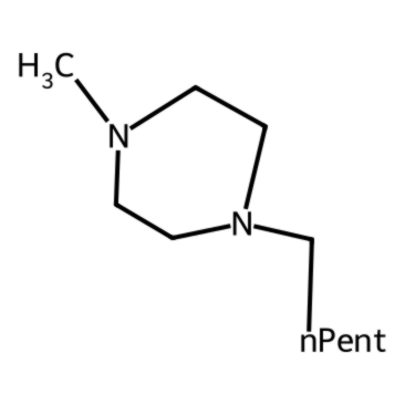 [CH2]CCCCCN1CCN(C)CC1